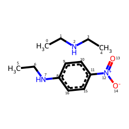 CCNCC.CCNc1ccc([N+](=O)[O-])cc1